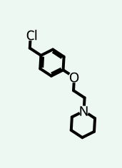 ClCc1ccc(OCCN2CCCCC2)cc1